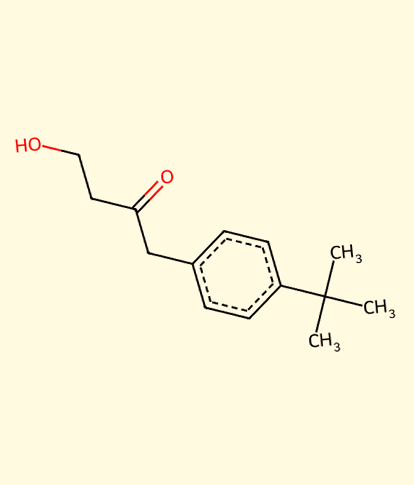 CC(C)(C)c1ccc(CC(=O)CCO)cc1